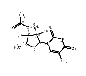 [CH2][C@H]1OC(n2cc(C)c(=O)[nH]c2=O)[C@](C)(F)C1(C)OC(C)=O